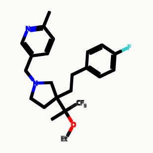 CCOC(C)(C(F)(F)F)C1(CCc2ccc(F)cc2)CCN(Cc2ccc(C)nc2)C1